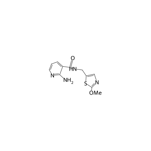 COc1ncc(CNC(=O)c2cccnc2N)s1